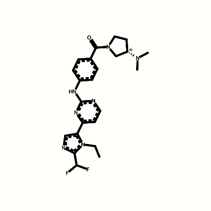 CCn1c(-c2ccnc(Nc3ccc(C(=O)N4CC[C@H](N(C)C)C4)cc3)n2)cnc1C(F)F